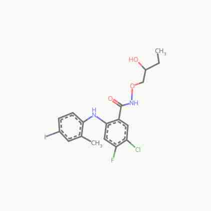 CCC(O)CONC(=O)c1cc(Cl)c(F)cc1Nc1ccc(I)cc1C